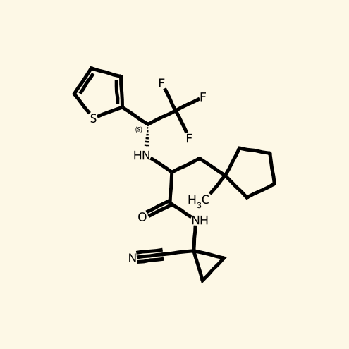 CC1(CC(N[C@H](c2cccs2)C(F)(F)F)C(=O)NC2(C#N)CC2)CCCC1